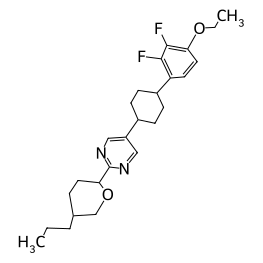 CCCC1CCC(c2ncc(C3CCC(c4ccc(OCC)c(F)c4F)CC3)cn2)OC1